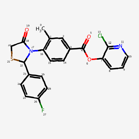 Cc1cc(C(=O)Oc2cccnc2Cl)ccc1N1C(=O)CSC1c1ccc(F)cc1